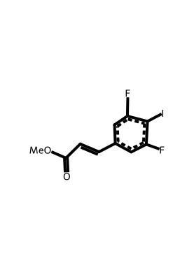 COC(=O)/C=C/c1cc(F)c(I)c(F)c1